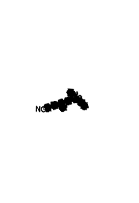 N#Cc1ccc(-c2ccc(-c3ccc(-c4ccc(-c5cc6c7cc8ccccc8cc7sc6c6nc7ccccc7n56)cc4)c4ccccc34)cc2)cc1